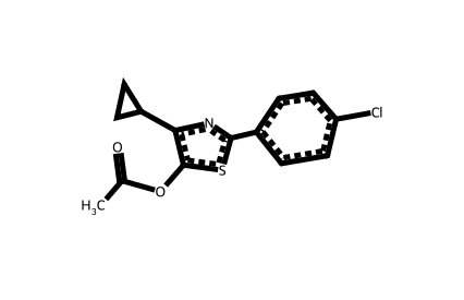 CC(=O)Oc1sc(-c2ccc(Cl)cc2)nc1C1CC1